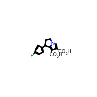 O=C(O)c1cn2c(c1C(=O)O)C(c1ccc(F)cc1)CC2